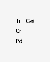 [Cr].[Ge].[Pd].[Ti]